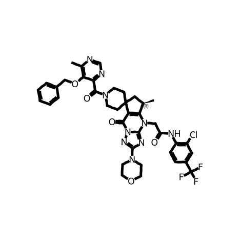 Cc1ncnc(C(=O)N2CCC3(CC2)C[C@@H](C)c2c3c(=O)n3nc(N4CCOCC4)nc3n2CC(=O)Nc2ccc(C(F)(F)F)cc2Cl)c1OCc1ccccc1